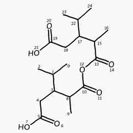 CC(C)C(CC(=O)O)C(C)C(=O)OC(=O)C(C)C(CC(=O)O)C(C)C